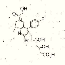 CC(C)c1nc2c(c(-c3ccc(F)cc3)c1/C=C/[C@@H](O)C[C@@H](O)CC(=O)O)CN(C(=O)CO)CC2(C)C